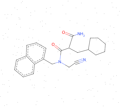 N#CCN(Cc1cccc2ccccc12)C(=O)C(CC1CCCCC1)C(N)=O